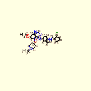 COc1cc(OC2CCN(C)CC2)c2c(Nc3ccc4c(ccn4Cc4ccccc4F)c3)ncnc2c1